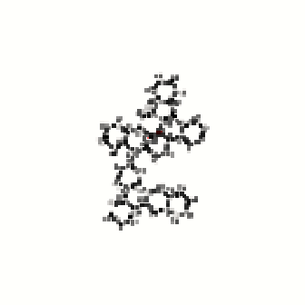 c1ccc(-c2ccc(N(c3ccc(-c4ccccc4-c4ccc5ccccc5c4)cc3)c3ccccc3-c3ccc4sc5ccccc5c4c3)cc2)cc1